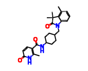 Cc1cccc2c1C(C)(C)C(=O)N2CC1CCC(NC(=O)c2ccc(=O)[nH]c2C)CC1